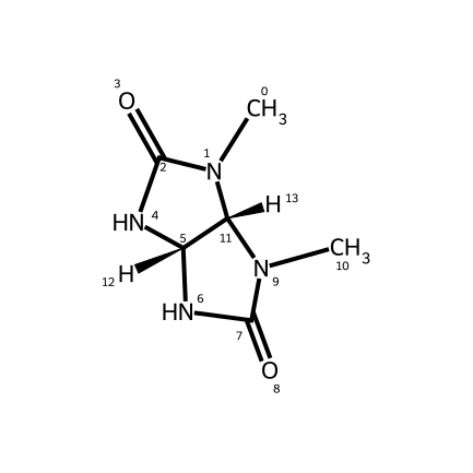 CN1C(=O)N[C@H]2NC(=O)N(C)[C@H]21